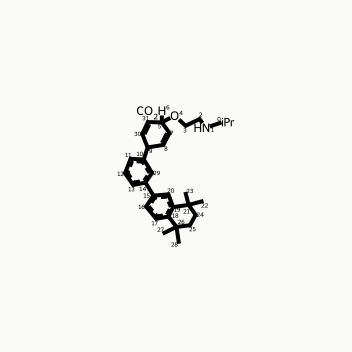 CC(C)NCCOC1(C(=O)O)C=CC(c2cccc(-c3ccc4c(c3)C(C)(C)CCC4(C)C)c2)C=C1